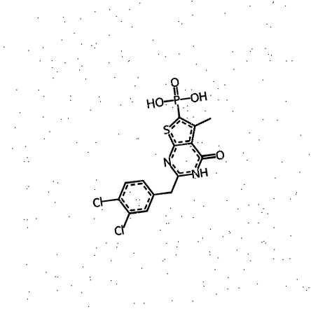 Cc1c(P(=O)(O)O)sc2nc(Cc3ccc(Cl)c(Cl)c3)[nH]c(=O)c12